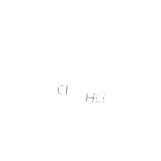 CC.CCl.Cl